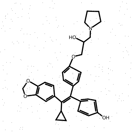 Oc1ccc(C(=C(c2ccc3c(c2)OCO3)C2CC2)c2ccc(OCC(O)CN3CCCC3)cc2)cc1